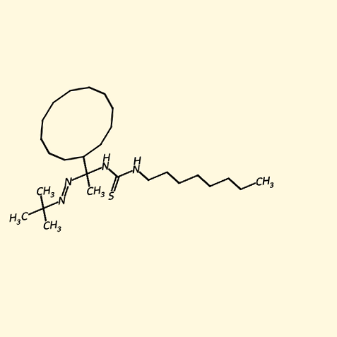 CCCCCCCCNC(=S)NC(C)(N=NC(C)(C)C)C1CCCCCCCCCCC1